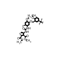 COC(=O)c1scc(NC(=O)Nc2cc(OCc3cc(C(F)(F)F)ccc3OC)c(OC)cc2F)c1C(=O)OC